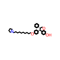 Oc1ccc2c(c1)OC[C@@H](c1ccccc1)[C@@H]2c1ccc(OCCCCCCCCCCN2CCCC2)cc1